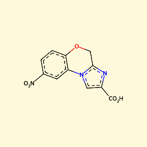 O=C(O)c1cn2c(n1)COc1ccc([N+](=O)[O-])cc1-2